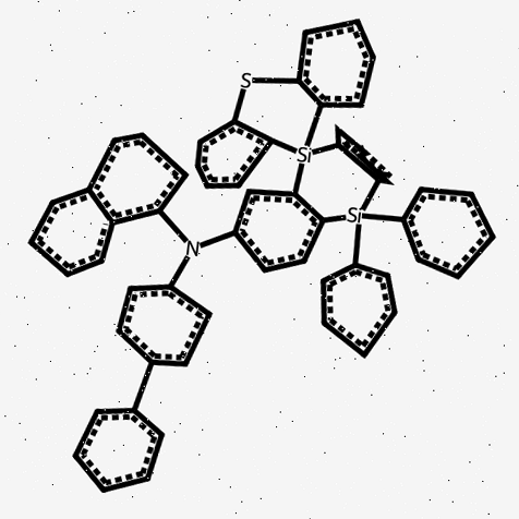 c1ccc(-c2ccc(N(c3ccc4c(c3)[Si]3(c5ccccc5Sc5ccccc53)c3ccccc3[Si]4(c3ccccc3)c3ccccc3)c3cccc4ccccc34)cc2)cc1